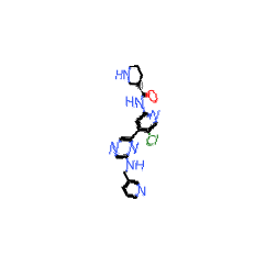 O=C(Nc1cc(-c2cncc(NCc3cccnc3)n2)c(Cl)cn1)[C@@H]1CCCNC1